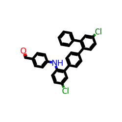 O=Cc1ccc(Nc2ccc(Cl)cc2-c2ccc(-c3ccc(Cl)cc3-c3ccccc3)cc2)cc1